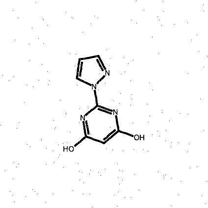 Oc1cc(O)nc(-n2cccn2)n1